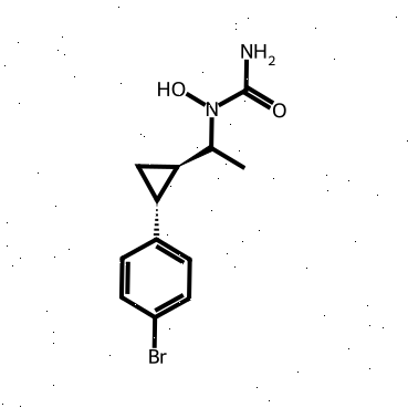 CC([C@@H]1C[C@H]1c1ccc(Br)cc1)N(O)C(N)=O